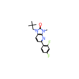 Cn1c(=O)n(CC(C)(C)C)c2ccc(-c3ccc(F)cc3F)nc21